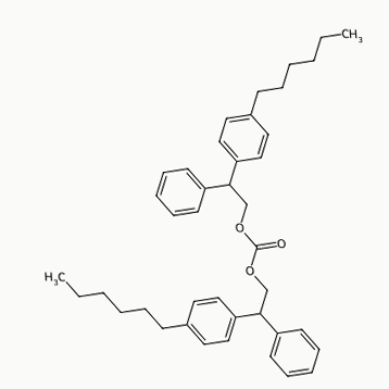 CCCCCCc1ccc(C(COC(=O)OCC(c2ccccc2)c2ccc(CCCCCC)cc2)c2ccccc2)cc1